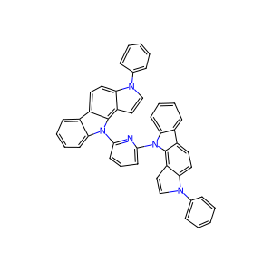 c1ccc(-n2ccc3c2ccc2c4ccccc4n(-c4cccc(-n5c6ccccc6c6ccc7c(ccn7-c7ccccc7)c65)n4)c23)cc1